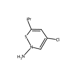 CC(C)C1=CC(Cl)=CN(N)S1